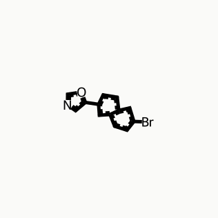 Brc1ccc2cc(-c3cnco3)ccc2c1